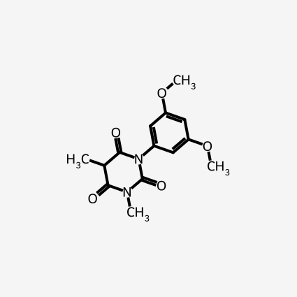 COc1cc(OC)cc(N2C(=O)C(C)C(=O)N(C)C2=O)c1